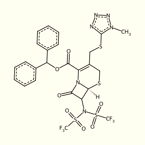 Cn1nnnc1SCC1=C(C(=O)OC(c2ccccc2)c2ccccc2)N2C(=O)C(N(S(=O)(=O)C(F)(F)F)S(=O)(=O)C(F)(F)F)[C@@H]2SC1